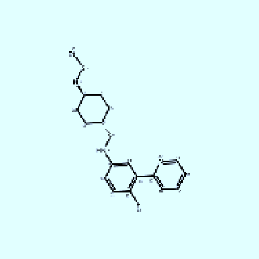 CCSN[C@H]1CC[C@H](CNc2ccc(F)c(-c3ccccn3)c2)CC1